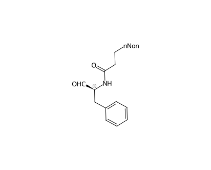 CCCCCCCCCCCC(=O)N[C@H](C=O)Cc1ccccc1